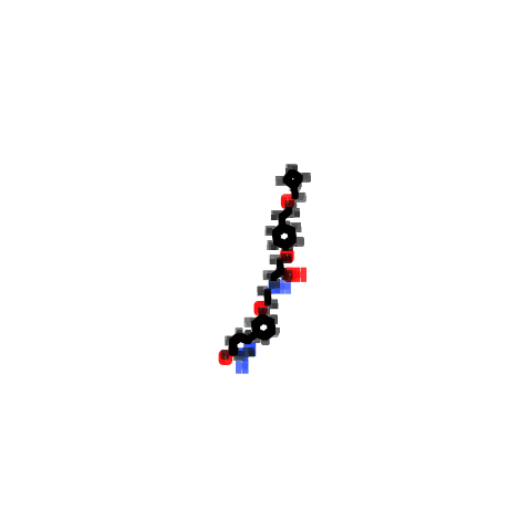 O=c1ccc(-c2cccc(OCCNCC(O)COc3ccc(CCOCC4CCC4)cc3)c2)n[nH]1